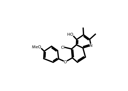 COc1ccc(Oc2ccc3nc(C)c(C)c(O)c3c2Cl)cc1